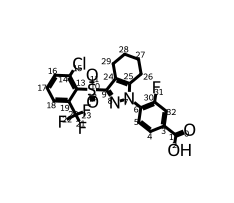 O=C(O)c1ccc(-n2nc(S(=O)(=O)c3c(Cl)cccc3C(F)(F)F)c3c2CCCC3)c(F)c1